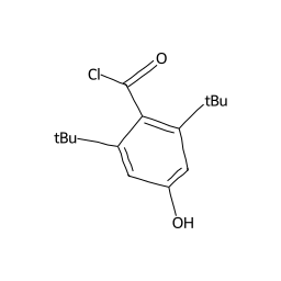 CC(C)(C)c1cc(O)cc(C(C)(C)C)c1C(=O)Cl